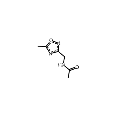 CC(=O)NCc1noc(C)n1